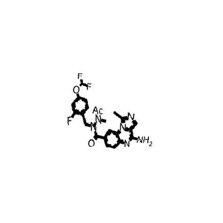 CC(=O)N(C)N(Cc1ccc(OC(F)F)cc1F)C(=O)c1ccc2nc(N)c3cnc(C)n3c2c1